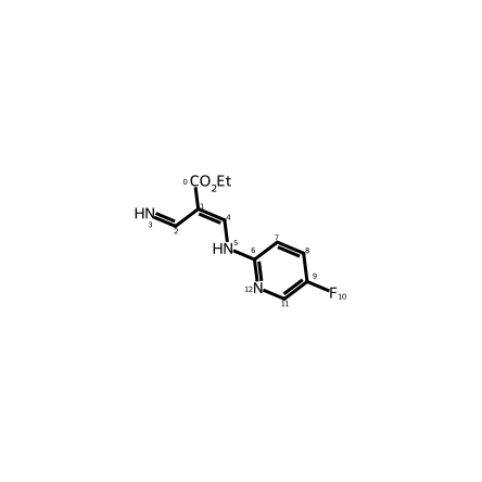 CCOC(=O)/C(C=N)=C/Nc1ccc(F)cn1